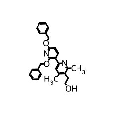 Cc1cc(-c2ccc(OCc3ccccc3)nc2OCc2ccccc2)nc(C)c1CCO